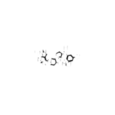 C[C@H]1CCN(c2ncnc3[nH]ncc23)C[C@@H]1N1CC[C@@H](Nc2cc(Cl)cc(Cl)c2)C1=O